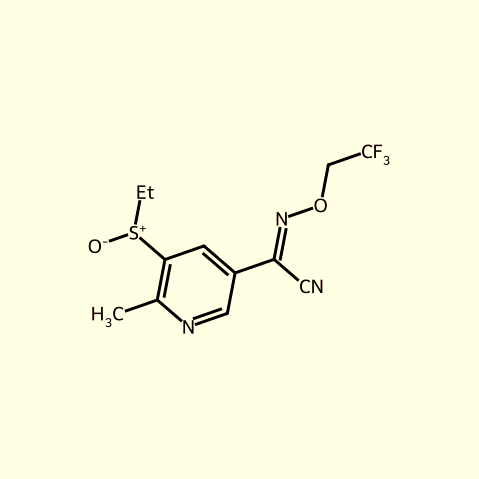 CC[S+]([O-])c1cc(/C(C#N)=N/OCC(F)(F)F)cnc1C